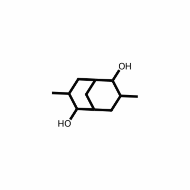 CC1CC2CC(CC(C)C2O)C1O